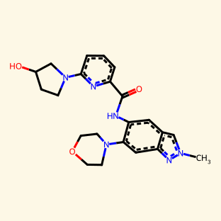 Cn1cc2cc(NC(=O)c3cccc(N4CCC(O)C4)n3)c(N3CCOCC3)cc2n1